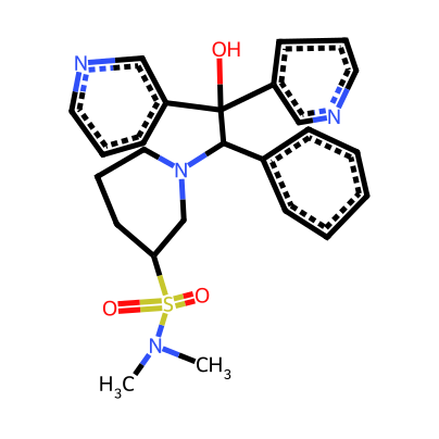 CN(C)S(=O)(=O)C1CCCN(C(c2ccccc2)C(O)(c2cccnc2)c2cccnc2)C1